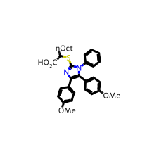 CCCCCCCCC(Sc1nc(-c2ccc(OC)cc2)c(-c2ccc(OC)cc2)n1-c1ccccc1)C(=O)O